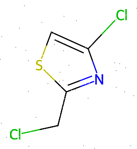 ClCc1nc(Cl)cs1